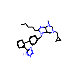 CCCCCC1N=C2C(=CN(CC3CC3)CN2C)N1Cc1ccc(-c2ccccc2-c2nnn[nH]2)cc1